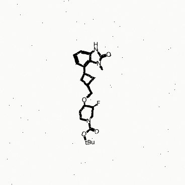 Cn1c(=O)[nH]c2cccc(C3CC(CO[C@@H]4CCN(C(=O)OC(C)(C)C)C[C@@H]4F)C3)c21